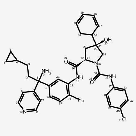 NC(CCC1CC1)(c1ccncc1)c1ccc(F)c(NC(=O)[C@H]2C[C@](O)(C3C=CC=CC3)CN2C(=O)Nc2ccc(Cl)cc2)c1